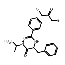 CC(NC(=O)[C@H](Cc1ccccc1)NC(=O)c1ccccc1)C(=O)O.O=C(CBr)CBr